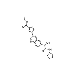 CCOC(=O)c1cc(-c2cnc3ccc(N(S)C(=O)NC4CCCC4)nc3n2)cs1